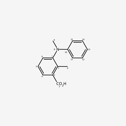 Cc1c(C(=O)O)cccc1N(C)c1ccccc1